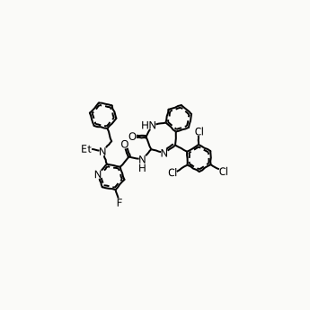 CCN(Cc1ccccc1)c1ncc(F)cc1C(=O)NC1N=C(c2c(Cl)cc(Cl)cc2Cl)c2ccccc2NC1=O